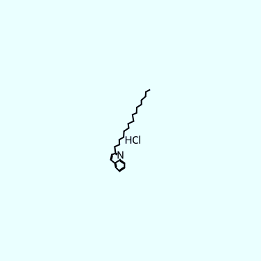 CCCCCCCCCCCCCCCCc1ccc2ccccc2n1.Cl